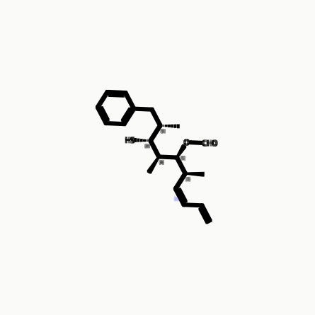 C=C/C=C\[C@H](C)[C@H](OC=O)[C@@H](C)[C@H](S)[C@@H](C)Cc1ccccc1